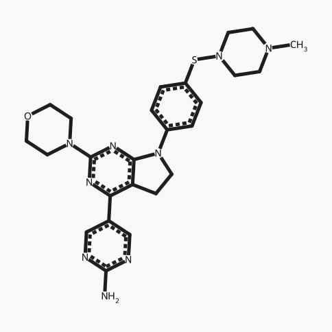 CN1CCN(Sc2ccc(N3CCc4c(-c5cnc(N)nc5)nc(N5CCOCC5)nc43)cc2)CC1